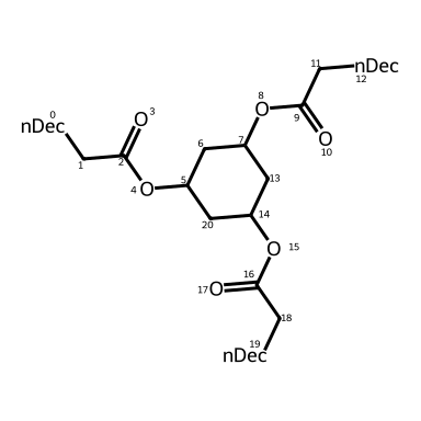 CCCCCCCCCCCC(=O)OC1CC(OC(=O)CCCCCCCCCCC)CC(OC(=O)CCCCCCCCCCC)C1